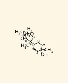 CCC(C)(C1C=CC(C)(O)CC1)C1OC1(C)C